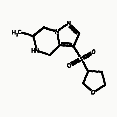 CC1Cn2ncc(S(=O)(=O)C3CCOC3)c2CN1